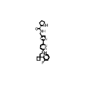 O=C(NCc1cnc(-c2ccc(NCC3(c4ncccc4F)CCC3)nn2)s1)[C@H]1CCCN1